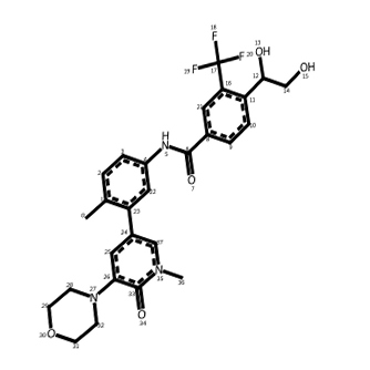 Cc1ccc(NC(=O)c2ccc(C(O)CO)c(C(F)(F)F)c2)cc1-c1cc(N2CCOCC2)c(=O)n(C)c1